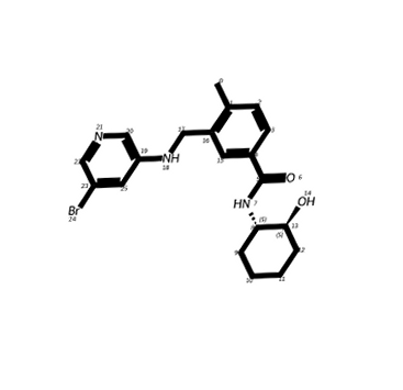 Cc1ccc(C(=O)N[C@H]2CCCC[C@@H]2O)cc1CNc1cncc(Br)c1